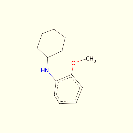 COc1ccccc1NC1CCCCC1